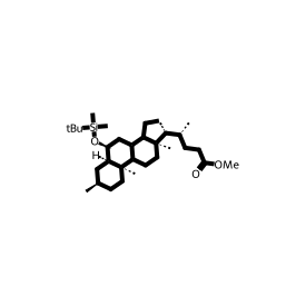 COC(=O)CC[C@@H](C)[C@H]1CCC2C3C[C@H](O[Si](C)(C)C(C)(C)C)[C@@H]4C[C@H](C)CC[C@]4(C)C3CC[C@@]21C